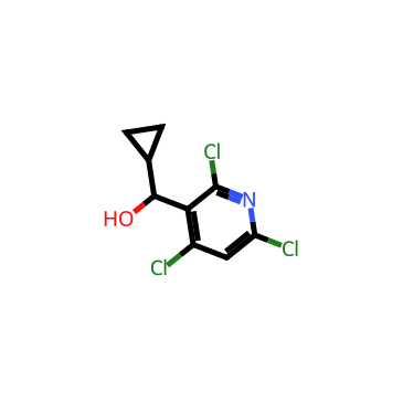 OC(c1c(Cl)cc(Cl)nc1Cl)C1CC1